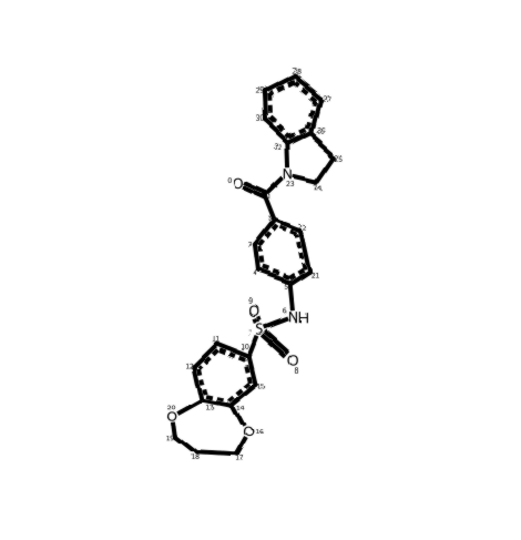 O=C(c1ccc(NS(=O)(=O)c2ccc3c(c2)OCCCO3)cc1)N1CCc2ccccc21